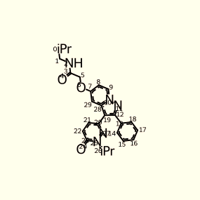 CC(C)CNC(=O)COc1ccn2nc(-c3ccccc3)c(-c3ccc(=O)n(C(C)C)n3)c2c1